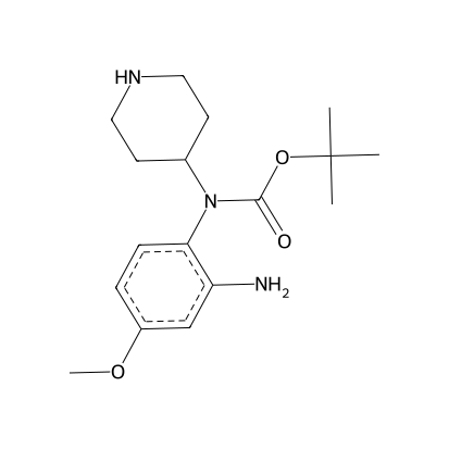 COc1ccc(N(C(=O)OC(C)(C)C)C2CCNCC2)c(N)c1